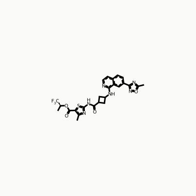 Cc1nc(-c2ccc3ccnc(NC4CC(C(=O)Nc5nc(C)c(C(=O)O[C@@H](C)C(F)(F)F)s5)C4)c3c2)no1